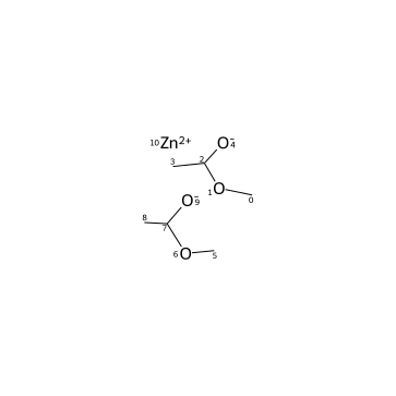 COC(C)[O-].COC(C)[O-].[Zn+2]